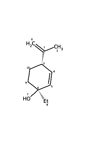 C=C(C)[C@@H]1C=C[C@](O)(CC)CC1